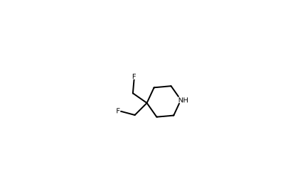 FCC1(CF)CCNCC1